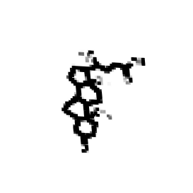 CC(CCC(=O)O)C1CCC2C3CCC4CC(=O)CCC4(C)C3CCC12C